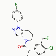 CC(C(=O)N1CCCc2c1cnn2-c1ccc(F)cc1)c1ccc(Cl)c(CF)c1